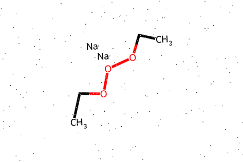 CCOOOCC.[Na].[Na]